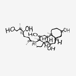 C[C@H](CC[C@H](O)[C@@H](C)CO)[C@H]1CC[C@H]2[C@@H]3[C@H](O)C[C@@H]4C[C@H](O)CC[C@]4(C)[C@H]3C[C@H](O)[C@]12C